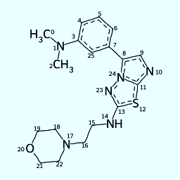 CN(C)c1cccc(-c2cnc3sc(NCCN4CCOCC4)nn23)c1